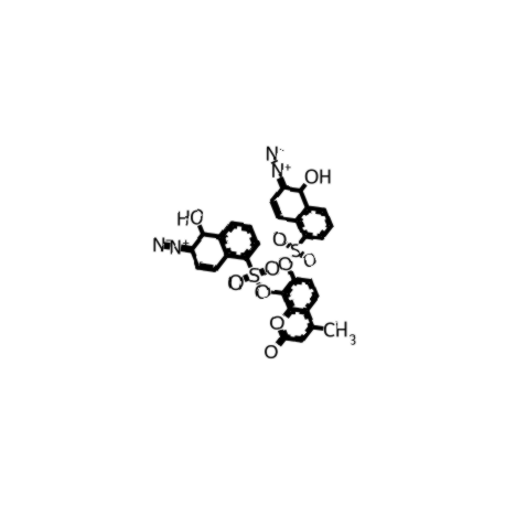 Cc1cc(=O)oc2c(OS(=O)(=O)c3cccc4c3C=CC(=[N+]=[N-])C4O)c(OS(=O)(=O)c3cccc4c3C=CC(=[N+]=[N-])C4O)ccc12